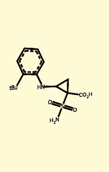 CC(C)(C)c1ccccc1NC1CC1(C(=O)O)S(N)(=O)=O